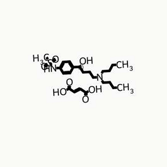 CCCCN(CCCC)CCC[C@@H](O)c1ccc(NS(C)(=O)=O)cc1.O=C(O)C=CC(=O)O